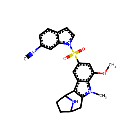 [C-]#[N+]c1ccc2ccn(S(=O)(=O)c3cc(OC)c4c(c3)c3c(n4C)CC4CCC3N4)c2c1